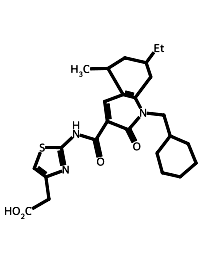 CCC1Cc2c(cc(C(=O)Nc3nc(CC(=O)O)cs3)c(=O)n2CC2CCCCC2)C(C)C1